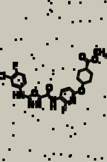 COC(=O)[C@H]1CC[C@@H](Oc2ccc(NC(=O)c3nnc(Nc4ccc(F)c(Cl)c4)o3)c(F)n2)CC1